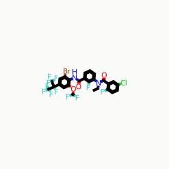 CCN(C(=O)c1cc(Cl)ccc1F)c1cccc(C(=O)Nc2c(Br)cc(C(F)(C(F)(F)F)C(F)(F)F)cc2OC(F)F)c1F